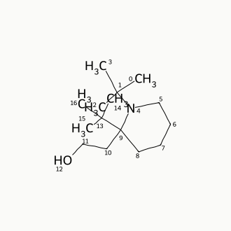 CC(C)(C)N1CCCCC1(CCO)C(C)(C)C